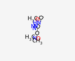 COc1ccccc1CNc1ccc(-c2ccc(C(=O)N(C)C)cc2)c2nncn12